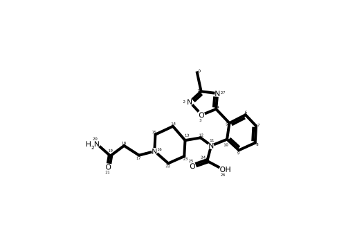 Cc1noc(-c2ccccc2N(CC2CCN(CCC(N)=O)CC2)C(=O)O)n1